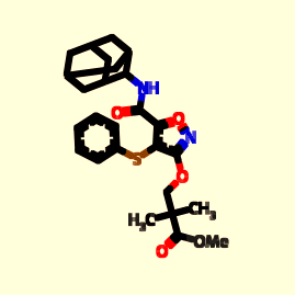 COC(=O)C(C)(C)COc1noc(C(=O)NC2C3CC4CC(C3)CC2C4)c1Sc1ccccc1